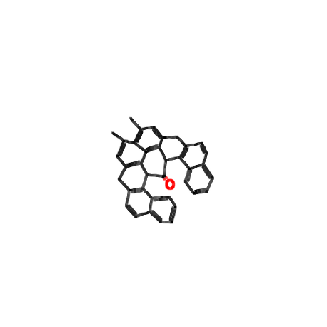 Cc1cc2c3c4c5c(cc(C)c14)Cc1ccc4ccccc4c1C5C(=O)C3c1c(ccc3ccccc13)C2